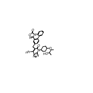 CCCc1c(Cc2ccc(-c3ccccc3)c(-c3noc(=O)[nH]3)c2)c(=O)n(C2CCC(OC(C)C(C)O)CC2)c2ncnn12